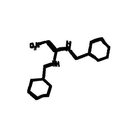 O=[N+]([O-])C=C(NCC1CCCCC1)NCC1CCCCC1